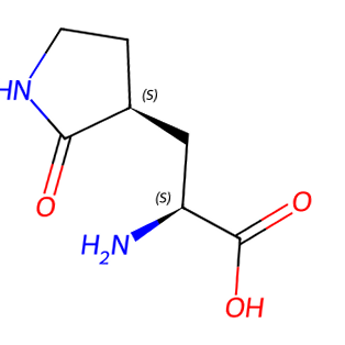 N[C@@H](C[C@@H]1CCNC1=O)C(=O)O